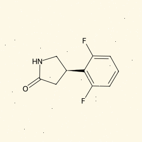 O=C1C[C@H](c2c(F)cccc2F)CN1